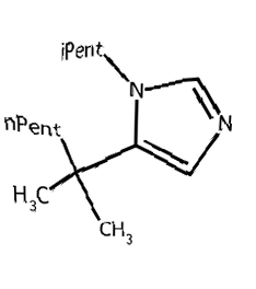 CCCCCC(C)(C)c1cncn1C(C)CCC